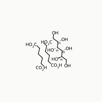 O=C(O)CCCCC(=O)O.O=C(O)CCCCC(=O)O.OC[C@@H](O)[C@@H](O)[C@H](O)[C@@H](O)CO